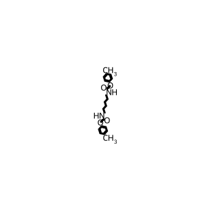 Cc1ccc(OC(=O)NCCCCCCNC(=O)Oc2ccc(C)cc2)cc1